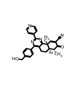 C[C@H]1C(=O)C(C#N)=C[C@@]2(C)c3nc(-c4ccncc4)nc(-c4ccc(CO)cc4)c3CC[C@H]12